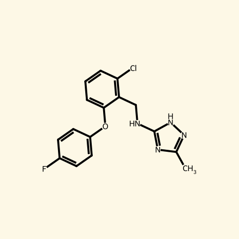 Cc1n[nH]c(NCc2c(Cl)cccc2Oc2ccc(F)cc2)n1